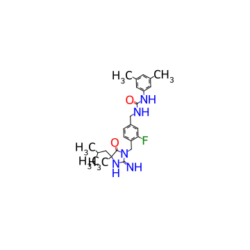 Cc1cc(C)cc(NC(=O)NCc2ccc(CN3C(=N)NC(C)(CC(C)C)C3=O)c(F)c2)c1